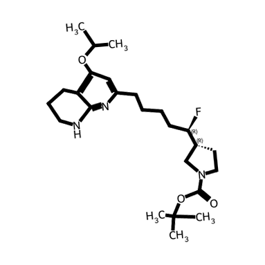 CC(C)Oc1cc(CCCC[C@@H](F)[C@@H]2CCN(C(=O)OC(C)(C)C)C2)nc2c1CCCN2